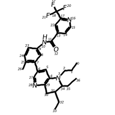 CCCN1c2cc(-c3cc(NC(=O)c4ccnc(C(F)(F)F)c4)ccc3C)cnc2CC(CC)C1CC